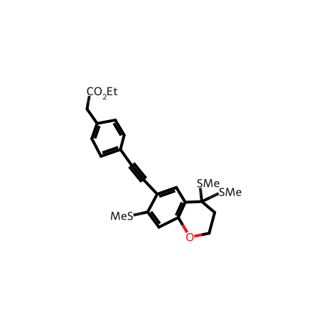 CCOC(=O)Cc1ccc(C#Cc2cc3c(cc2SC)OCCC3(SC)SC)cc1